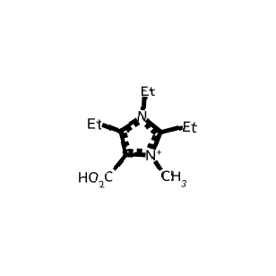 CCc1c(C(=O)O)[n+](C)c(CC)n1CC